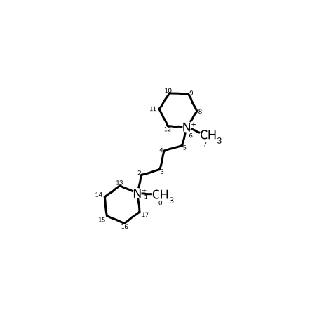 C[N+]1(CCCC[N+]2(C)CCCCC2)CCCCC1